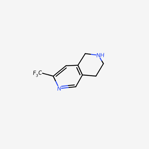 FC(F)(F)c1cc2c(cn1)CCNC2